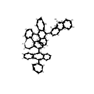 c1ccc(-c2c3ccccc3c(-c3cccc4c3CCSc3cccc(-c5c6ccccc6c(-c6ccc7c(c6)sc6ccccc67)c6ccccc56)c3-4)c3ccccc23)cc1